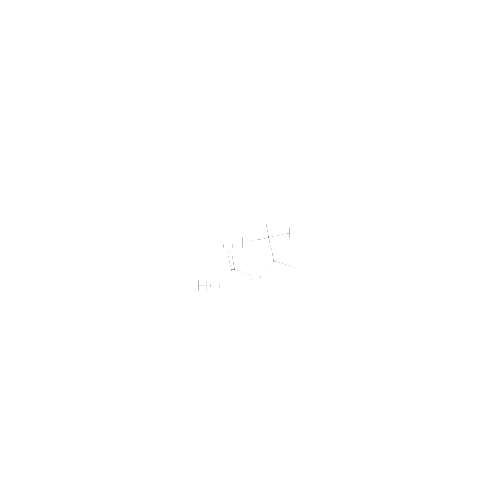 [CH2]C(OC(=O)O)C(F)(F)F